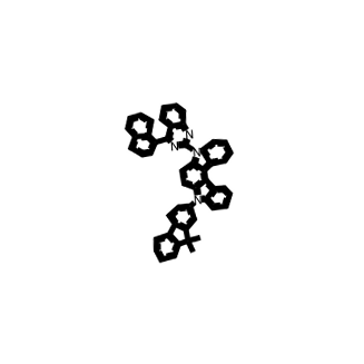 CC1(C)c2ccccc2-c2ccc(-n3c4ccccc4c4c5c6ccccc6n(-c6nc(-c7cccc8ccccc78)c7ccccc7n6)c5ccc43)cc21